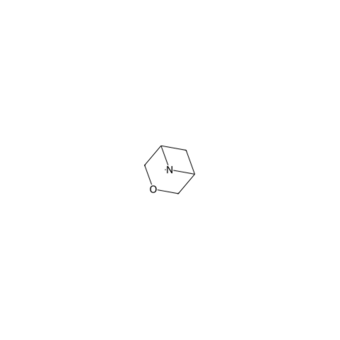 C1OCC2CC1[N]2